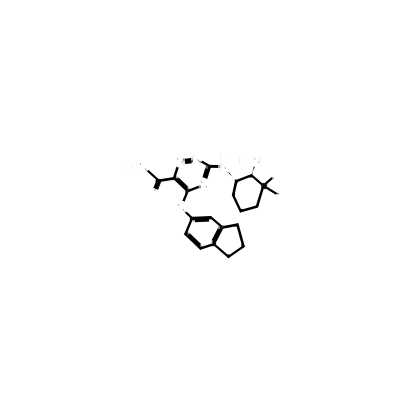 NC(=O)c1nnc(N[C@@H]2CCCC(F)(F)[C@@H]2N)nc1Nc1ccc2c(c1)CCC2